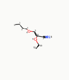 CCCCOC=C(C#N)OCC